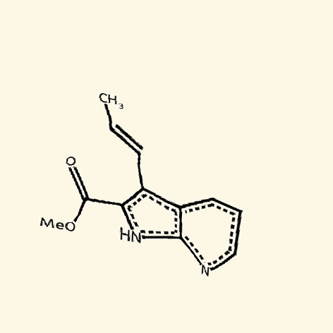 C/C=C/c1c(C(=O)OC)[nH]c2ncccc12